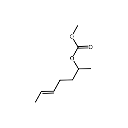 CC=CCCC(C)OC(=O)OC